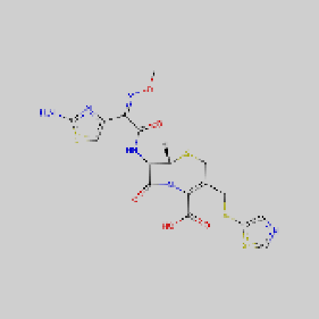 CO/N=C(\C(=O)NC1C(=O)N2C(C(=O)O)=C(CSc3cncs3)CS[C@@H]12)c1csc(N)n1